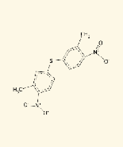 Cc1cc(Sc2ccc([N+](=O)[O-])c(C)c2)ccc1[N+](=O)[O-]